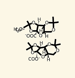 CC1(C)OC[C@@H]2O[C@@]3(C(=O)[O-])OC(C)(C)O[C@H]3[C@@H]2O1.CC1(C)OC[C@@H]2O[C@@]3(C(=O)[O-])OC(C)(C)O[C@H]3[C@@H]2O1.O.[Cu+2]